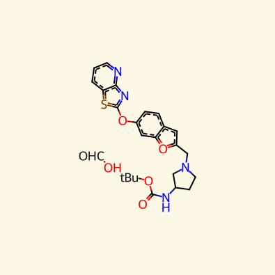 CC(C)(C)OC(=O)NC1CCN(Cc2cc3ccc(Oc4nc5ncccc5s4)cc3o2)C1.O=CO